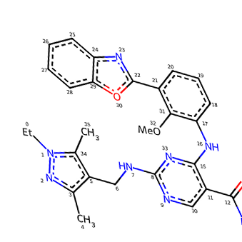 CCn1nc(C)c(CNc2ncc(C(N)=O)c(Nc3cccc(-c4nc5ccccc5o4)c3OC)n2)c1C